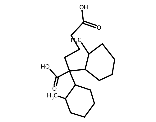 CC1CCCCC1C(CCCC(=O)O)(C(=O)O)C1CCCCC1C